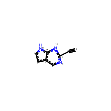 C#Cc1ncc2cc[nH]c2n1